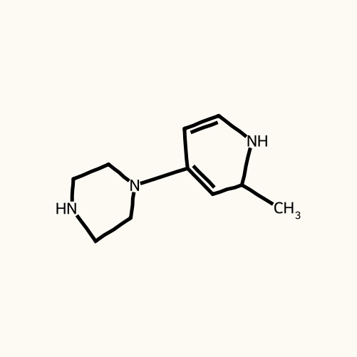 CC1C=C(N2CCNCC2)C=CN1